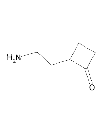 NCCC1CCC1=O